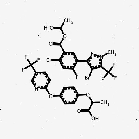 CC(C)OC(=O)c1cc(-c2nn(C)c(C(F)(F)F)c2Br)c(F)cc1Cl.CC(Oc1ccc(Oc2ccc(C(F)(F)F)cn2)cc1)C(=O)O